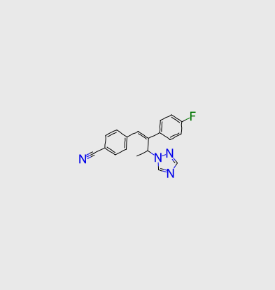 CC(C(=Cc1ccc(C#N)cc1)c1ccc(F)cc1)n1cncn1